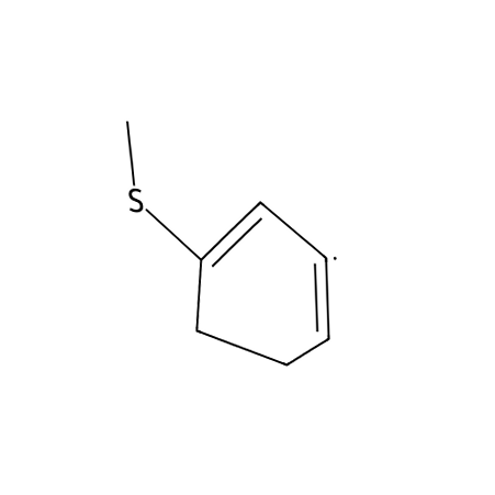 CSC1=C[C]=CCC1